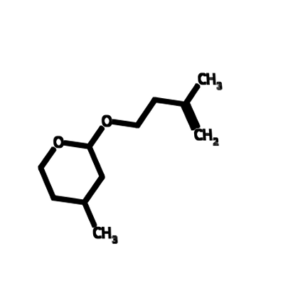 C=C(C)CCOC1CC(C)CCO1